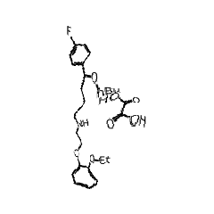 CCCCOC(CCCNCCOc1ccccc1OCC)c1ccc(F)cc1.O=C(O)C(=O)O